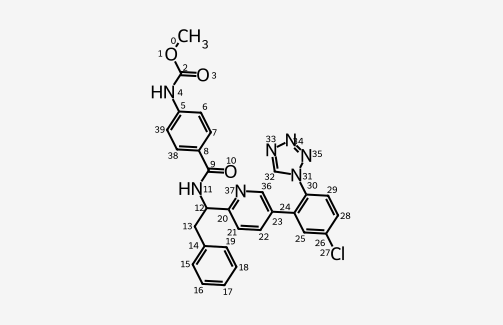 COC(=O)Nc1ccc(C(=O)NC(Cc2ccccc2)c2ccc(-c3cc(Cl)ccc3-n3cnnn3)cn2)cc1